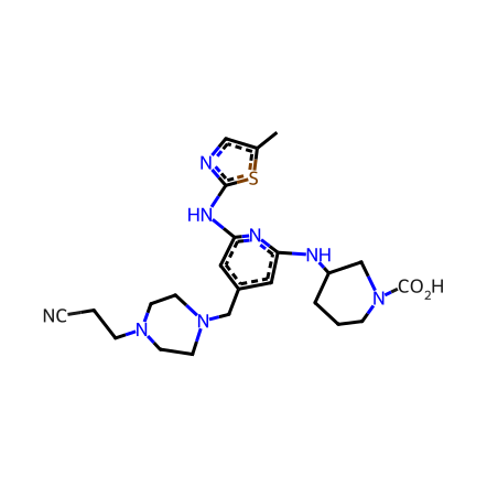 Cc1cnc(Nc2cc(CN3CCN(CCC#N)CC3)cc(NC3CCCN(C(=O)O)C3)n2)s1